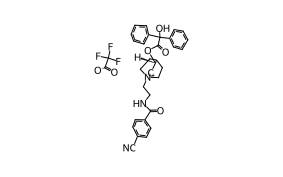 N#Cc1ccc(C(=O)NCC[N+]23CCC(CC2)[C@@H](OC(=O)C(O)(c2ccccc2)c2ccccc2)C3)cc1.O=C([O-])C(F)(F)F